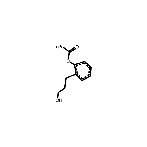 CCCC(=O)Oc1ccccc1CCCO